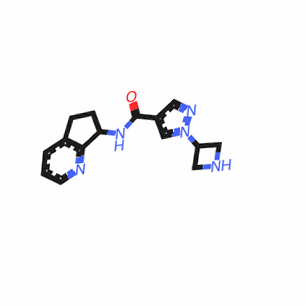 O=C(NC1CCc2cccnc21)c1cnn(C2CNC2)c1